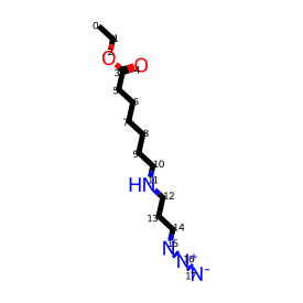 CCOC(=O)CCCCCCNCCCN=[N+]=[N-]